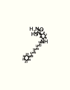 NC(=O)N(S)c1cccc(NCCCCCCCCc2ccccc2)c1